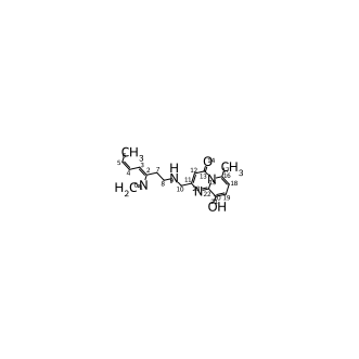 C=N/C(=C\C=C/C)CCNCc1cc(=O)n2c(C)ccc(O)c2n1